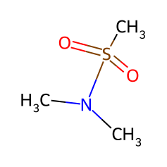 CN(C)S(C)(=O)=O